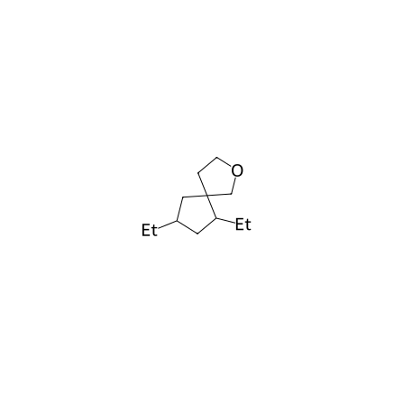 CCC1CC(CC)C2(CCOC2)C1